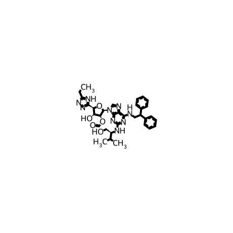 CCc1nnc([C@H]2O[C@@H](n3cnc4c(NCC(c5ccccc5)c5ccccc5)nc(N[C@H](CO)C(C)C)nc43)[C@H](OC=O)[C@@H]2O)[nH]1